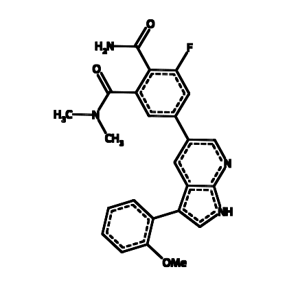 COc1ccccc1-c1c[nH]c2ncc(-c3cc(F)c(C(N)=O)c(C(=O)N(C)C)c3)cc12